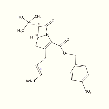 CC(=O)N/C=C/SC1=C(C(=O)OCc2ccc([N+](=O)[O-])cc2)N2C(=O)[C@@H](C(C)(C)O)[C@@H]2C1